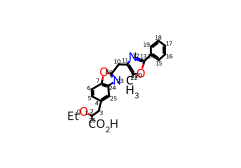 CCOC(Cc1ccc2oc(Cc3nc(-c4ccccc4)oc3C)nc2c1)C(=O)O